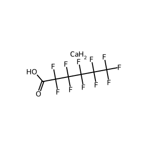 O=C(O)C(F)(F)C(F)(F)C(F)(F)C(F)(F)C(F)(F)F.[CaH2]